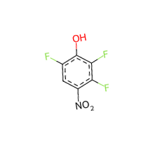 O=[N+]([O-])c1cc(F)c(O)c(F)c1F